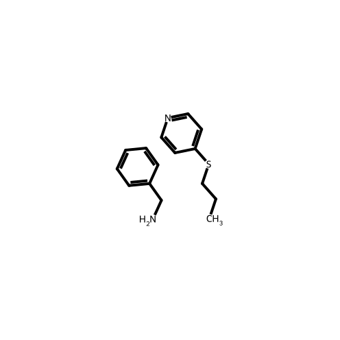 CCCSc1ccncc1.NCc1ccccc1